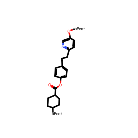 CCCCCOc1ccc(CCc2ccc(OC(=O)C3CCC(CCCCC)CC3)cc2)nc1